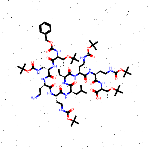 CC[C@H](NC(=O)[C@@H](CC(C)C)NC(=O)[C@H](CCNC(=O)OC(C)(C)C)NC(=O)[C@H](CCN)NC(=O)[C@H](CNC(=O)OC(C)(C)C)NC(=O)[C@@H](NC(=O)OCc1ccccc1)[C@@H](C)OC(C)(C)C)C(=O)N[C@@H](CCNC(=O)OC(C)(C)C)C(=O)N[C@@H](CCNC(=O)OC(C)(C)C)C(=O)N[C@H](C(=O)O)[C@@H](C)OC(C)(C)C